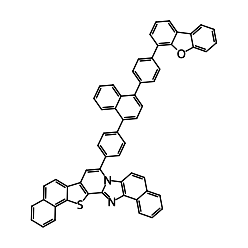 c1ccc2c(c1)ccc1c2nc2c3sc4c5ccccc5ccc4c3cc(-c3ccc(-c4ccc(-c5ccc(-c6cccc7c6oc6ccccc67)cc5)c5ccccc45)cc3)n12